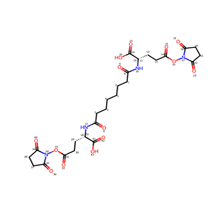 O=C(CCCCCCC(=O)N[C@@H](CCC(=O)ON1C(=O)CCC1=O)C(=O)O)N[C@@H](CCC(=O)ON1C(=O)CCC1=O)C(=O)O